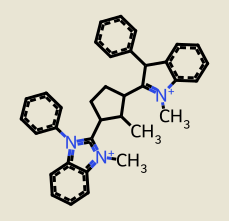 CC1C(C2=[N+](C)c3ccccc3C2c2ccccc2)CCC1c1n(-c2ccccc2)c2ccccc2[n+]1C